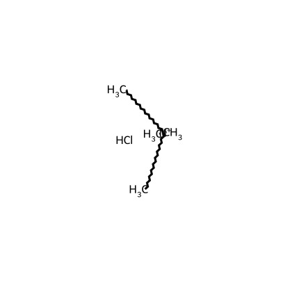 CCCCCCCCCCCCCCCCCC[N+](C)(C)CCCCCCCCCCCCCCCCCC.Cl